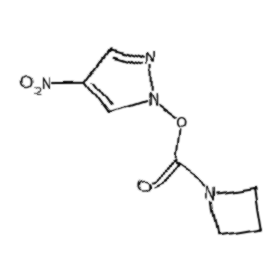 O=C(On1cc([N+](=O)[O-])cn1)N1CCC1